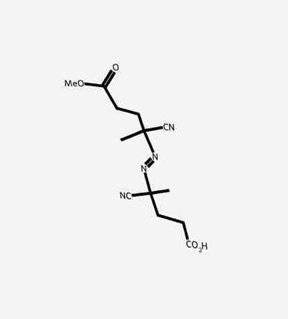 COC(=O)CCC(C)(C#N)/N=N/C(C)(C#N)CCC(=O)O